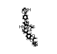 CC(Cn1cnnn1)Oc1cc(-c2cnc(Nc3cn([C@H]4CC[C@H](C5CNCCO5)CC4)nc3OCC(F)F)nc2)ccc1Cl